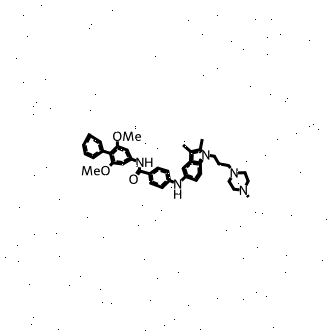 COc1cc(NC(=O)c2ccc(Nc3ccc4c(c3)c(C)c(C)n4CCCN3CCN(C)CC3)cc2)cc(OC)c1-c1ccccc1